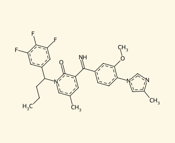 CCCC(c1cc(F)c(F)c(F)c1)n1cc(C)cc(C(=N)c2ccc(-n3cnc(C)c3)c(OC)c2)c1=O